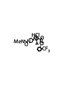 CNCC(=O)N1CCC(n2ncc(C(=O)N3CC[C@@H](c4ccccc4C(F)(F)F)C3)c2C2CC2)CC1.Cl